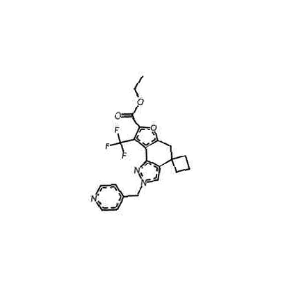 CCOC(=O)c1oc2c(c1C(F)(F)F)-c1nn(Cc3ccncc3)cc1C1(CCC1)C2